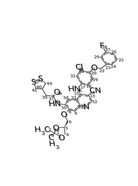 CC1(C)OC[C@H](COc2cc3ncc(C#N)c(Nc4ccc(OCc5cccc(F)c5)c(Cl)c4)c3cc2NC(=O)CC2CSSC2)O1